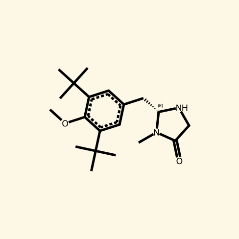 COc1c(C(C)(C)C)cc(C[C@@H]2NCC(=O)N2C)cc1C(C)(C)C